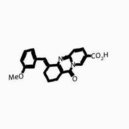 COc1cccc(C=C2CCCc3c2nc2ccc(C(=O)O)cn2c3=O)c1